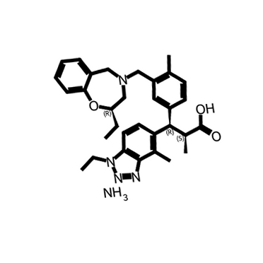 CC[C@@H]1CN(Cc2cc([C@H](c3ccc4c(nnn4CC)c3C)[C@H](C)C(=O)O)ccc2C)Cc2ccccc2O1.N